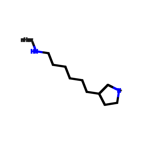 CCCCCCNCCCCCCC1CC[N]C1